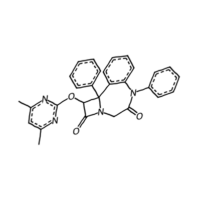 Cc1cc(C)nc(OC2C(=O)N3CC(=O)N(c4ccccc4)c4ccccc4C23c2ccccc2)n1